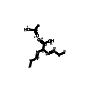 CC(=O)O.CCN=NC(N=NCC)C(=O)O